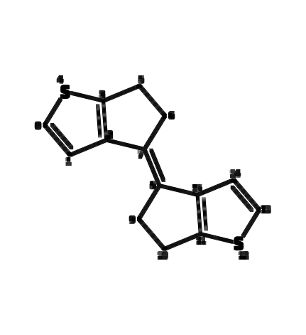 c1cc2c(s1)CC/C2=C1/CCc2sccc21